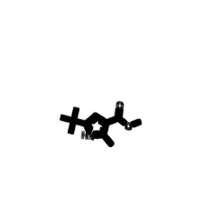 COC(=O)c1cc(C(C)(C)C)[nH]c1C